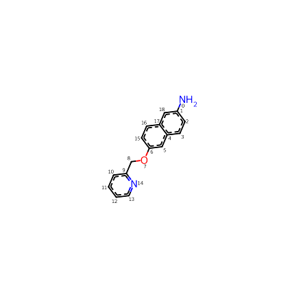 Nc1ccc2cc(OCc3ccccn3)ccc2c1